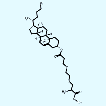 CC(C)CCC[C@@H](C)[C@H]1CC[C@H]2[C@@H]3CC=C4C[C@@H](OC(=O)CCOCCOCC(N)C(=O)OC(C)(C)C)CC[C@]4(C)[C@H]3CC[C@]12C